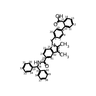 Cc1c(C)n(Cc2ccc(-c3ccccc3C(=O)O)cc2)c2ccc(C(=O)NC(c3ccccc3)c3ccccc3)cc12